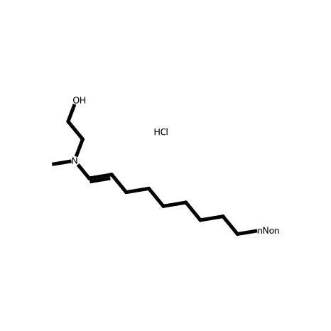 CCCCCCCCCCCCCCCCC=CN(C)CCO.Cl